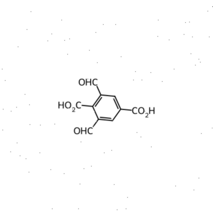 O=Cc1cc(C(=O)O)cc(C=O)c1C(=O)O